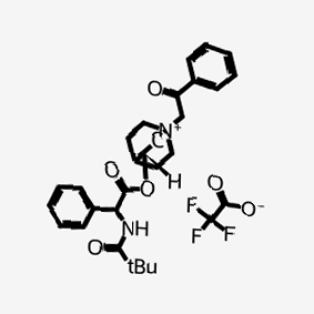 CC(C)(C)C(=O)NC(C(=O)O[C@H]1C[N+]2(CC(=O)c3ccccc3)CCC1CC2)c1ccccc1.O=C([O-])C(F)(F)F